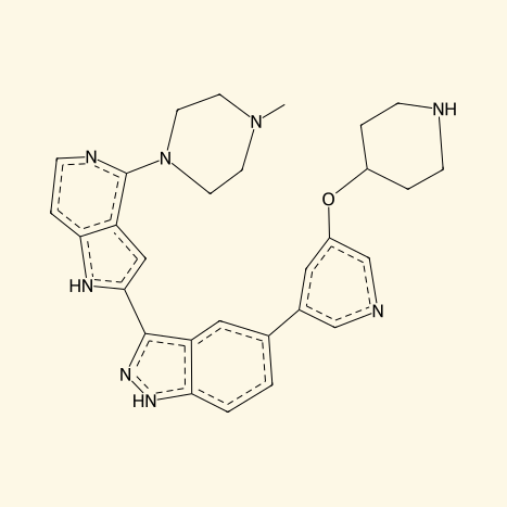 CN1CCN(c2nccc3[nH]c(-c4n[nH]c5ccc(-c6cncc(OC7CCNCC7)c6)cc45)cc23)CC1